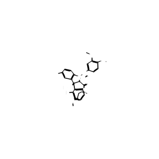 COC(=O)CN(C)C(=O)C1N(S(=O)(=O)c2ccc(OC)c(OC)c2)c2ccc(Br)cc2C1(O)c1ccccc1F